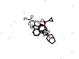 CC(C)S(=O)(=O)NC(=O)c1ccc2nc(N3C4CCC3CC(NCc3c(-c5c(Cl)cccc5Cl)noc3C3CC3)C4)sc2c1